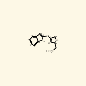 O=C(O)Cn1nnc(Sc2nc3ccccc3s2)n1